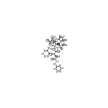 CC(C(=O)N[C@](CS(=O)(=O)C(C)(C)C)(OC(=O)[C@H](Cl)NC(=O)CCc1ccccc1)[C@@](CCC1CCCCC1)(OC(=O)CCl)C1CC1)c1c[nH]cn1